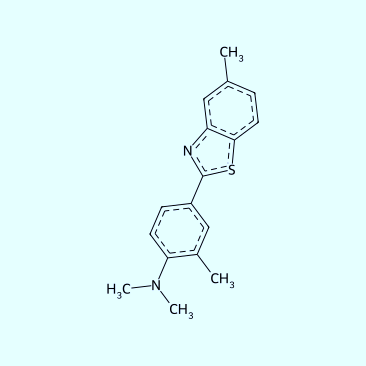 Cc1ccc2sc(-c3ccc(N(C)C)c(C)c3)nc2c1